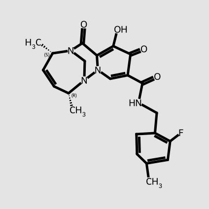 Cc1ccc(CNC(=O)c2cn3c(c(O)c2=O)C(=O)N2CN3[C@H](C)C=C[C@@H]2C)c(F)c1